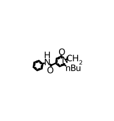 [CH2]n1c(CCCC)cc(C(=O)Nc2ccccc2)cc1=O